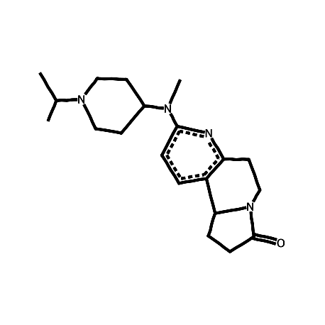 CC(C)N1CCC(N(C)c2ccc3c(n2)CCN2C(=O)CCC32)CC1